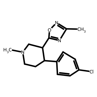 Cc1noc(C2CN(C)CCC2c2ccc(Cl)cc2)n1